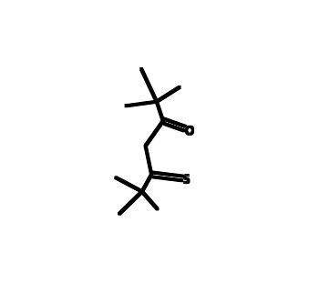 CC(C)(C)C(=O)CC(=S)C(C)(C)C